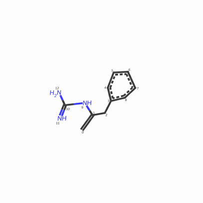 C=C(Cc1ccccc1)NC(=N)N